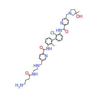 Cc1c(NC(=O)c2ccc(CNCCNC(=O)CCCN)cn2)cccc1-c1cccc(NC(=O)c2ccc(CN3CCC(C)(O)C3)cn2)c1Cl